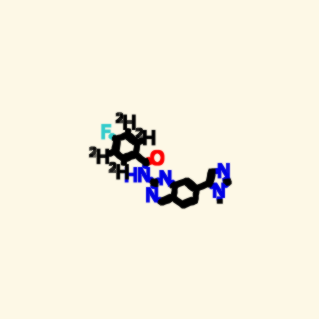 [2H]c1c([2H])c(C(=O)Nc2ncc3ccc(-c4cncn4C)cc3n2)c([2H])c([2H])c1F